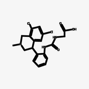 CN1Cc2c(Cl)cc(Cl)cc2C(c2ccccc2NC(=O)NCC(=O)O)C1